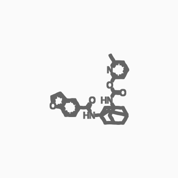 Cc1cccc(OC(=O)NC23CC4CC(C2)CC(NC(=O)c2ccc5occc5c2)(C4)C3)n1